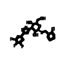 OCC1O[C@H](SCc2ccccc2Cl)C(O)C(n2cc(-c3cc(F)c(F)c(F)c3)nn2)[C@H]1O